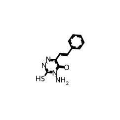 Nn1c(S)nnc(C=Cc2ccccc2)c1=O